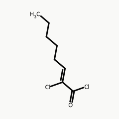 CCCCC/C=C(\Cl)C(=O)Cl